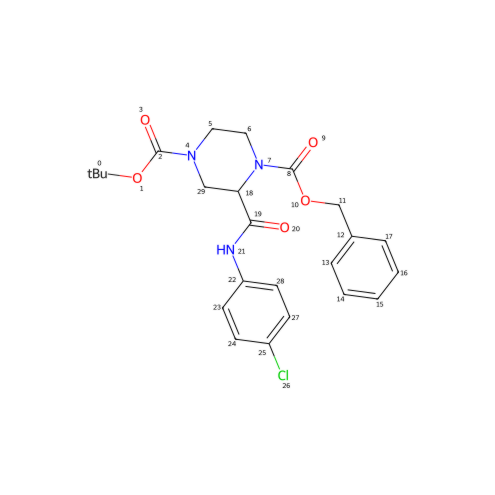 CC(C)(C)OC(=O)N1CCN(C(=O)OCc2ccccc2)C(C(=O)Nc2ccc(Cl)cc2)C1